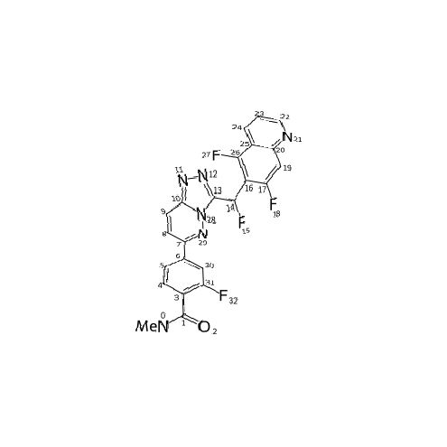 CNC(=O)c1ccc(-c2ccc3nnc(C(F)c4c(F)cc5ncccc5c4F)n3n2)cc1F